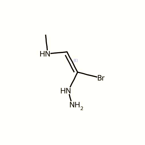 CN/C=C(/Br)NN